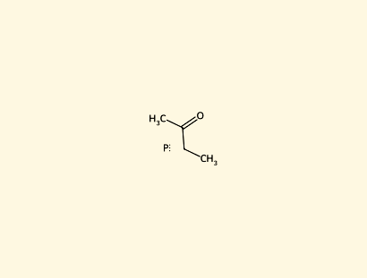 CCC(C)=O.[P]